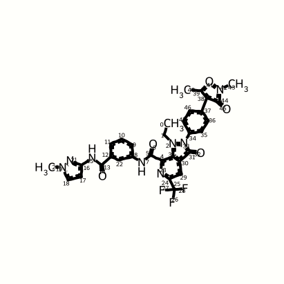 CCn1c2c(C(=O)Nc3cccc(C(=O)Nc4ccn(C)n4)c3)nc(C(F)(F)F)cc2c(=O)n1-c1ccc(-c2c(C)on(C)c2=O)cc1